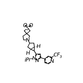 CC(C)n1nc(-c2ccnc(C(F)(F)F)c2)cc1C1[C@H]2CC(N3CCC4(C3)CS(=O)(=O)C4)C[C@@H]12